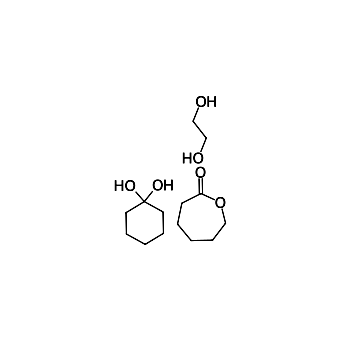 O=C1CCCCCO1.OC1(O)CCCCC1.OCCO